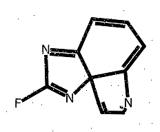 FC1=NC23C=CC=NC2=CC=CC3=N1